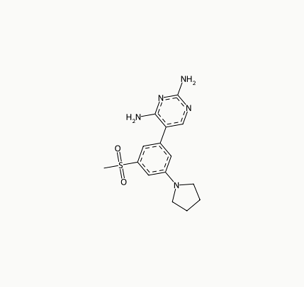 CS(=O)(=O)c1cc(-c2cnc(N)nc2N)cc(N2CCCC2)c1